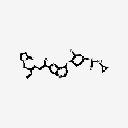 C=C/C(=C\C=C(/N)c1cc2nccc(Oc3ccc(NC(=O)NC4CC4)cc3F)c2s1)CN1CCCC1=O